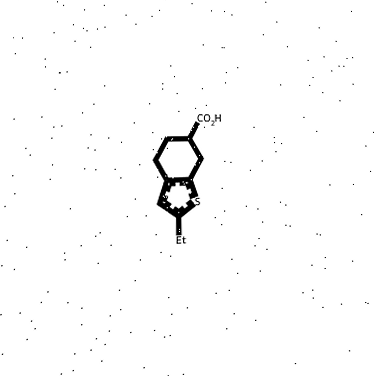 CCc1cc2c(s1)CC(C(=O)O)CC2